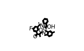 Cc1ccc2c(c1)CN(c1oc3c([C@@H](C)Nc4ccccc4C(=O)O)cc(F)cc3c(=O)c1C)C2